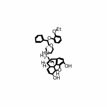 CCOc1ccccc1O[C@H](c1ccccc1)[C@H]1CNCCO1.CN1CC[C@]23c4c5ccc(O)c4O[C@H]2[C@@H](O)C=C[C@H]3[C@H]1C5